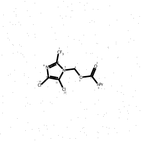 CCCC(=O)OCn1c(C(F)(F)F)nc(Cl)c1Cl